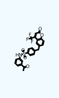 CC(=O)c1cccc(NS(=O)(=O)c2ccc(Cc3ccc4oc(=O)cc(C(F)(F)F)c4c3)cc2)c1